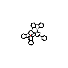 c1ccc(-c2cc(-c3ccccc3)nc(-n3c4ccccc4c4cccc(-c5ccc6c(c5)c5ncccc5n6-c5ccccc5)c43)n2)cc1